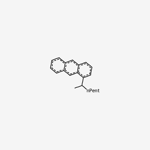 CCCCCC(C)c1cccc2cc3ccccc3cc12